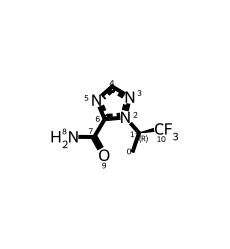 C[C@@H](n1ncnc1C(N)=O)C(F)(F)F